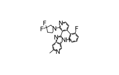 Cc1cc2nc(-c3c(-c4ccccc4F)ccnc3N3CCC(F)(F)C3)[nH]c2cn1